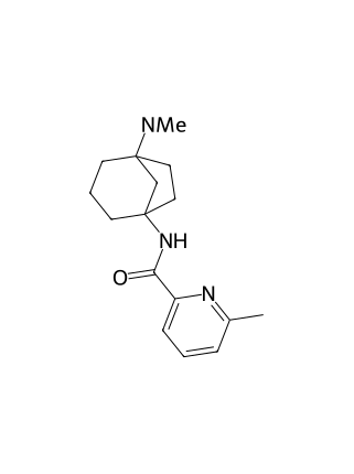 CNC12CCCC(NC(=O)c3cccc(C)n3)(CC1)C2